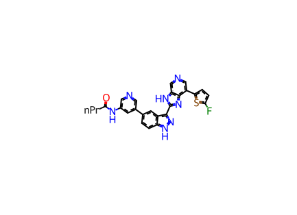 CCCC(=O)Nc1cncc(-c2ccc3[nH]nc(-c4nc5c(-c6ccc(F)s6)cncc5[nH]4)c3c2)c1